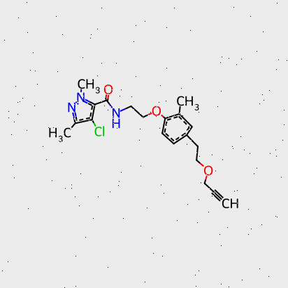 C#CCOCCc1ccc(OCCNC(=O)c2c(Cl)c(C)nn2C)c(C)c1